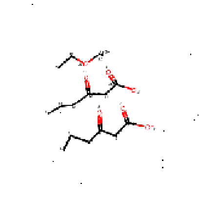 CCCC(=O)CC(=O)[O-].CCCC(=O)CC(=O)[O-].CC[O][Al+2]